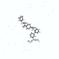 CC(C)c1cccc(-c2ccccc2CNc2ccc(C(=O)NCc3cccnc3)cc2)c1